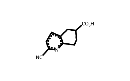 N#Cc1ccc2c(n1)CCC(C(=O)O)C2